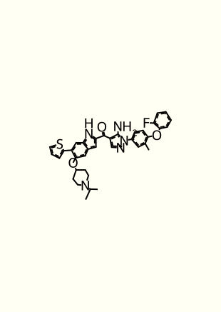 Cc1cc(-n2ncc(C(=O)c3cc4cc(OC5CCN(C(C)C)CC5)c(-c5cccs5)cc4[nH]3)c2N)ccc1Oc1ccccc1F